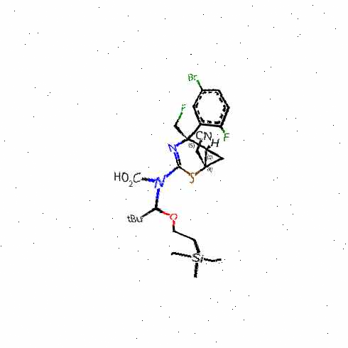 CC(C)(C)C(OCC[Si](C)(C)C)N(C(=O)O)C1=N[C@](CF)(c2cc(Br)ccc2F)[C@@H]2C[C@]2(CC#N)S1